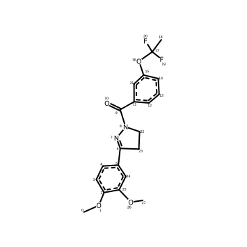 COc1ccc(C2=NN(C(=O)c3cccc(OC(C)(F)F)c3)CC2)cc1OC